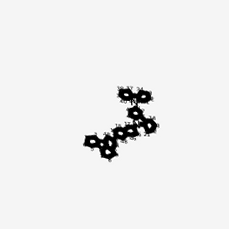 c1ccc2c(c1)-c1cccc3cc(-c4ccc5cc(-n6c7ccccc7c7cc(-n8c9ccccc9c9ccccc98)ccc76)ccc5c4)cc-2c13